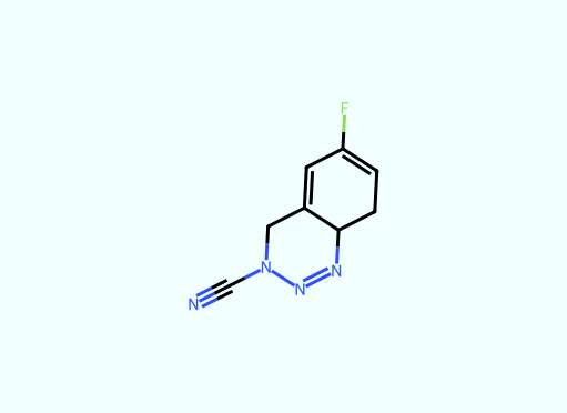 N#CN1CC2=CC(F)=CCC2N=N1